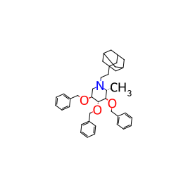 C[C@@H]1[C@@H](OCc2ccccc2)[C@H](OCc2ccccc2)[C@@H](OCc2ccccc2)CN1CCC12CC3CC(CC(C3)C1)C2